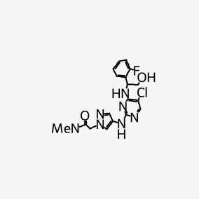 CNC(=O)Cn1cc(Nc2ncc(Cl)c(NC(CO)c3ccccc3F)n2)cn1